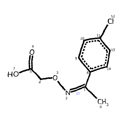 C/C(=N/OCC(=O)O)c1ccc(Cl)cc1